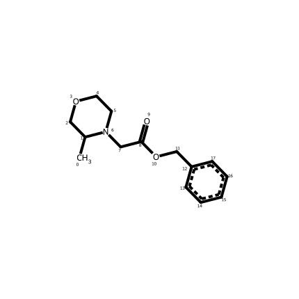 CC1COCCN1CC(=O)OCc1ccccc1